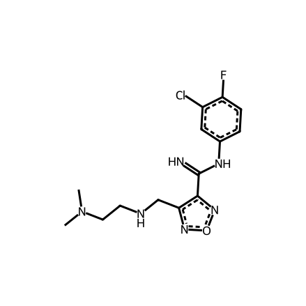 CN(C)CCNCc1nonc1C(=N)Nc1ccc(F)c(Cl)c1